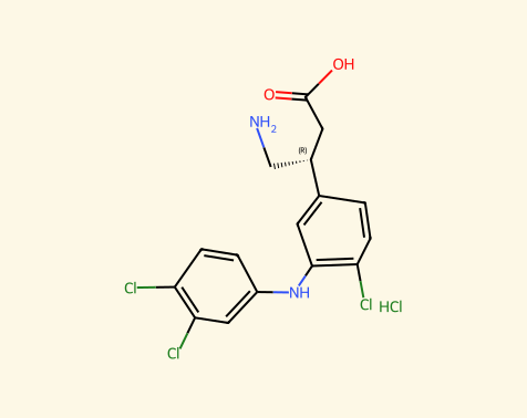 Cl.NC[C@H](CC(=O)O)c1ccc(Cl)c(Nc2ccc(Cl)c(Cl)c2)c1